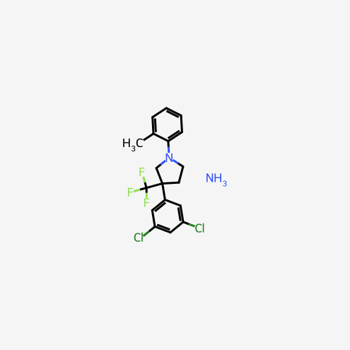 Cc1ccccc1N1CCC(c2cc(Cl)cc(Cl)c2)(C(F)(F)F)C1.N